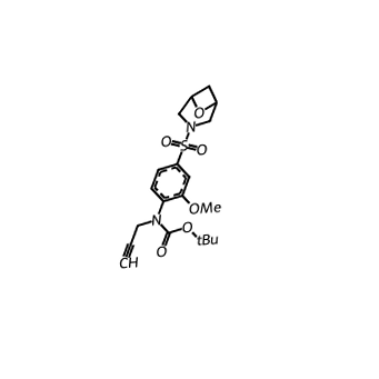 C#CCN(C(=O)OC(C)(C)C)c1ccc(S(=O)(=O)N2CC3CC(C2)O3)cc1OC